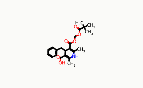 CC1=C(C(=O)O)C(Cc2ccccc2)C(C(=O)OCOC(=O)C(C)(C)C)=C(C)N1